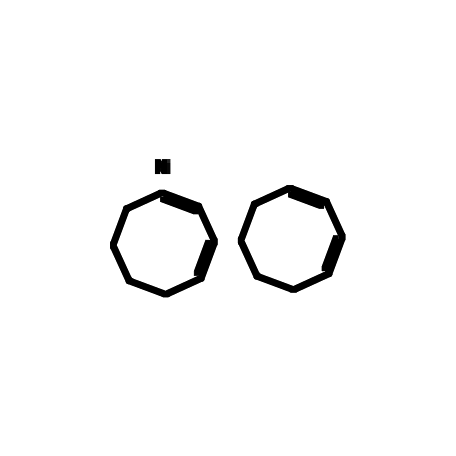 C1=C\CCCC\C=C/1.C1=C\CCCC\C=C/1.[Ni]